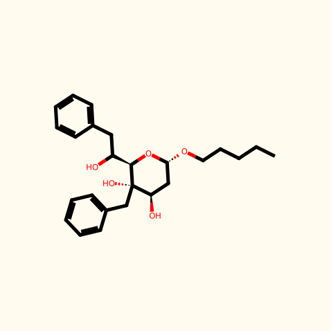 CCCCCO[C@@H]1C[C@@H](O)[C@@](O)(Cc2ccccc2)[C@@H](C(O)Cc2ccccc2)O1